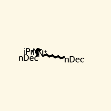 CCCCCCCCCCCCCCCCCC[n+]1ccn(C(C)C)c1CCCCCCCCCC